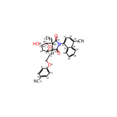 CC[C@]12O[C@](CCOc3ccc(C#N)cc3)(C[C@@H]1O)[C@H]1C(=O)N(c3ccc(C#N)c4ccccc34)C(=O)[C@H]12